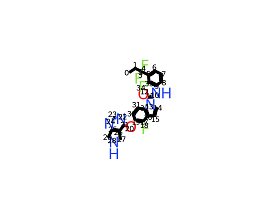 CCC(F)(F)c1cccc(NC(=O)n2ccc3c(F)c(Oc4ncnc5c4CNC5)ccc32)c1F